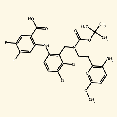 COc1ccc(N)c(CCN(Cc2c(Nc3cc(F)c(F)cc3C(=O)O)ccc(Cl)c2Cl)C(=O)OC(C)(C)C)n1